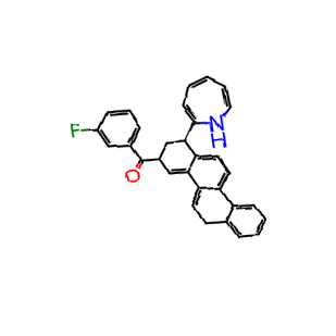 O=C(c1cccc(F)c1)C1C=c2c(ccc3c2=CCc2ccccc2-3)C(C2=CC=CC=CN2)C1